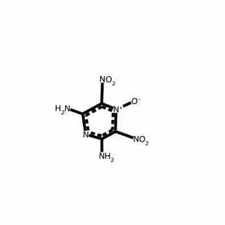 Nc1nc(N)c([N+](=O)[O-])[n+]([O-])c1[N+](=O)[O-]